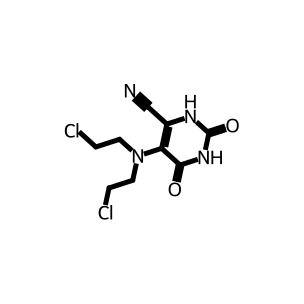 N#Cc1[nH]c(=O)[nH]c(=O)c1N(CCCl)CCCl